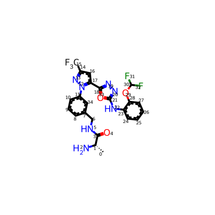 C[C@H](N)C(=O)NCc1cccc(-n2nc(C(F)(F)F)cc2-c2nnc(Nc3ccccc3OC(F)F)o2)c1